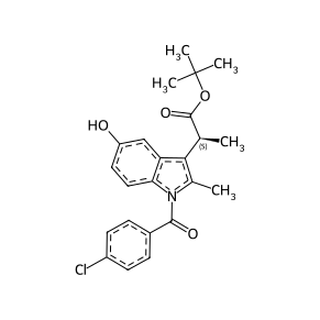 Cc1c([C@H](C)C(=O)OC(C)(C)C)c2cc(O)ccc2n1C(=O)c1ccc(Cl)cc1